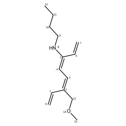 C=C/C(=C\C=C(/C=C)NCCCC)COC